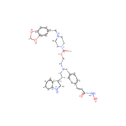 O=C(/C=C/c1ccc(CN(CCOC(=O)N2CCN(Cc3ccc4c(c3)OCO4)CC2)CCC2CNc3ccccc32)cc1)NO